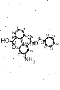 Nc1ccc(-c2ccccc2C(=O)O)c(C(=O)OCc2ccccc2)c1